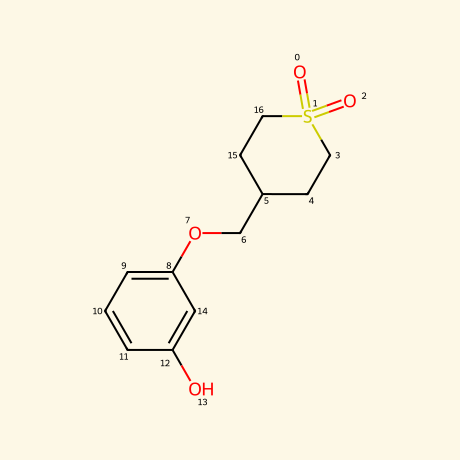 O=S1(=O)CCC(COc2cccc(O)c2)CC1